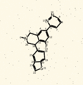 CN1Cc2cc(-c3cccnn3)cc(F)c2C(c2ccc3sccc3c2)C1